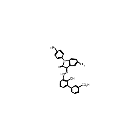 CCCc1ccc(N2C(=O)/C(=N\Nc3cccc(-c4cccc(C(=O)O)c4)c3O)c3cc(C(F)(F)F)ccc32)cc1